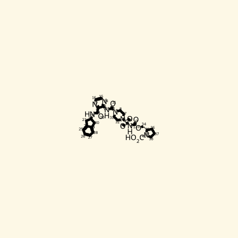 O=C(NS(=O)(=O)N1CCN(C(=O)Nc2nccnc2C(=O)NC2Cc3ccccc3C2)CC1)OC[C@@H]1CCCN1C(=O)O